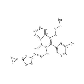 OCCC/C(=C(\c1cccc(O)c1)C1C=CC(C2CCN(C3CC3)C2)=CC1)c1ccccc1